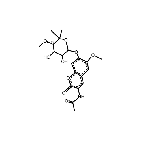 COc1cc2cc(NC(C)=O)c(=O)oc2cc1OC1OC(C)(C)[C@H](OC)C(O)C1O